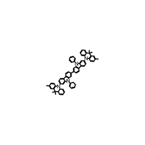 Cc1ccc2c(c1)C(C)(C)c1ccccc1N2c1ccc2c3ccc(-c4ccc5c6ccc(N7c8ccc(C)cc8C(C)(C)C8C=CC=CC87)cc6n(C6=CC=CCC6)c5c4)cc3n(-c3ccccc3)c2c1